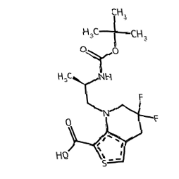 C[C@H](CN1CC(F)(F)Cc2csc(C(=O)O)c21)NC(=O)OC(C)(C)C